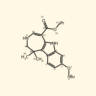 CCCCOc1ccc2c3c([nH]c2c1)C(C(=O)OC(C)C)=CNCC3(C)C